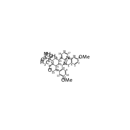 COc1ccc(CN(Cc2ccc(OC)cc2)c2ncccc2C(CCC(C)(C)[S+](N)[O-])CC2CCOCC2)cc1